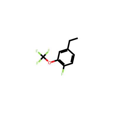 CCc1ccc(F)c(OC(F)(F)F)c1